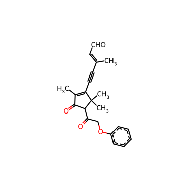 CC(C#CC1=C(C)C(=O)C(C(=O)COc2ccccc2)C1(C)C)=CC=O